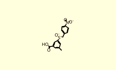 Cc1cc(C(=O)O)cc([S+]([O-])Cc2ccc([N+](=O)[O-])cc2)c1